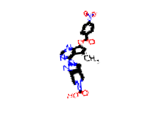 C[C@@H]1C[C@@H](OC(=O)c2ccc([N+](=O)[O-])cc2)c2ncnc(-n3cc4c(n3)CN(C(=O)O)C4)c21